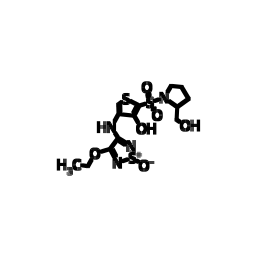 CCOc1n[s+]([O-])nc1Nc1csc(S(=O)(=O)N2CCCC2CO)c1O